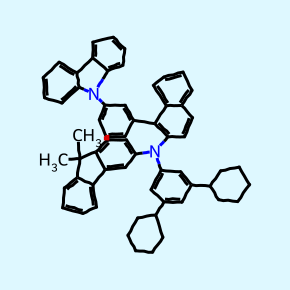 CC1(C)c2ccccc2-c2cc(N(c3cc(C4CCCCC4)cc(C4CCCCC4)c3)c3ccc4ccccc4c3-c3cccc(-n4c5ccccc5c5ccccc54)c3)ccc21